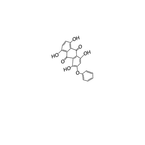 O=C1c2c(O)ccc(O)c2C(=O)c2c(O)c(Oc3ccccc3)cc(O)c21